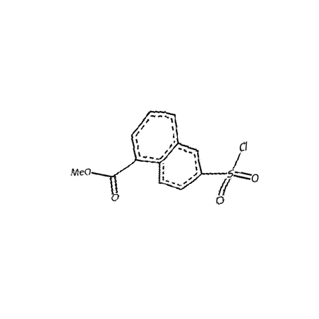 COC(=O)c1cccc2cc(S(=O)(=O)Cl)ccc12